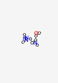 CN1C(c2cccc(-c3cccc4c3c3cc(-c5ccc6oc7ccccc7c6c5)ccc3n4-c3ccccc3)c2)=NC(c2ccccc2)=NC1c1ccccc1